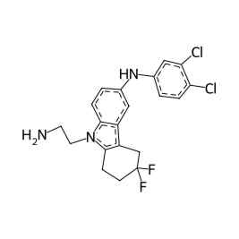 NCCn1c2c(c3cc(Nc4ccc(Cl)c(Cl)c4)ccc31)CC(F)(F)CC2